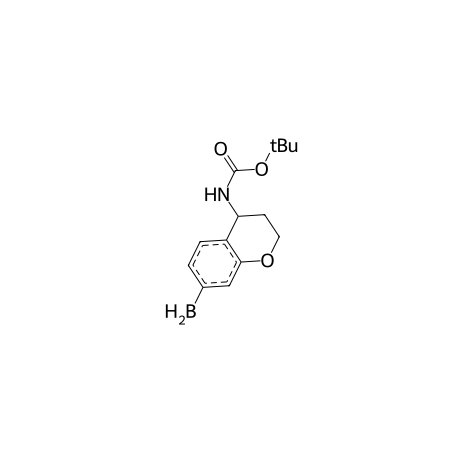 Bc1ccc2c(c1)OCCC2NC(=O)OC(C)(C)C